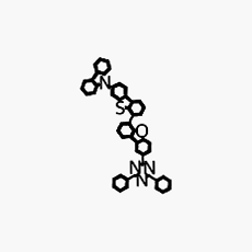 c1ccc(-c2nc(-c3ccccc3)nc(-c3ccc4oc5c(-c6cccc7c6sc6cc(-n8c9ccccc9c9ccccc98)ccc67)cccc5c4c3)n2)cc1